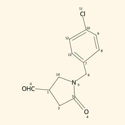 O=CC1CC(=O)N(Cc2ccc(Cl)cc2)C1